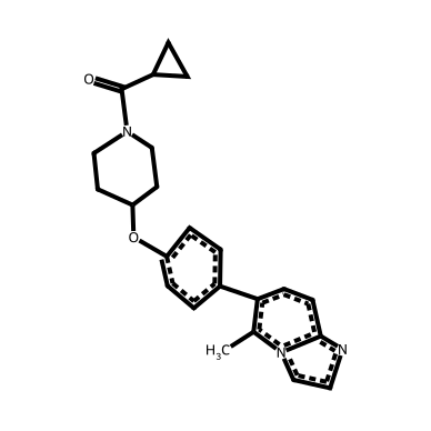 Cc1c(-c2ccc(OC3CCN(C(=O)C4CC4)CC3)cc2)ccc2nccn12